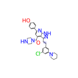 O=C(c1cc(-c2ccc(O)cc2)nc2[nH]nc(/C=C/c3cc(Cl)cc(N4CCCCC4)c3)c12)N1CCNCC1